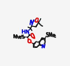 CSc1cnc2ccc(OC(SC)C(=O)NC(C)(C)C3=NOC(C)(C)C3)cc2c1